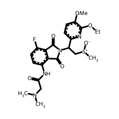 CCOc1nc(C(C[S+](C)[O-])N2C(=O)c3c(F)ccc(NC(=O)CN(C)C)c3C2=O)ccc1OC